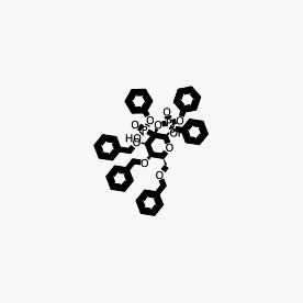 O=P(O)(Oc1ccccc1)O[C@@]1(P(=O)(O)Oc2ccccc2)[C@H](Sc2ccccc2)O[C@H](COCc2ccccc2)[C@@H](OCc2ccccc2)[C@@H]1OCc1ccccc1